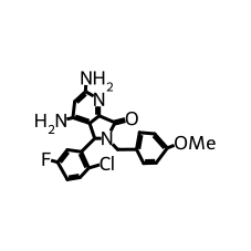 COc1ccc(CN2C(=O)c3nc(N)cc(N)c3C2c2cc(F)ccc2Cl)cc1